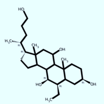 CC[C@@H]1C2C[C@H](O)CCC2(C)C2C(O)CC3(C)C(CC[C@@H]3[C@H](C)CCCO)C2[C@@H]1O